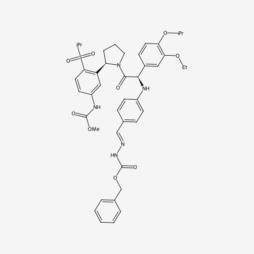 CCOc1cc([C@@H](Nc2ccc(C=NNC(=O)OCc3ccccc3)cc2)C(=O)N2CCC[C@@H]2c2cc(NC(=O)OC)ccc2S(=O)(=O)C(C)C)ccc1OC(C)C